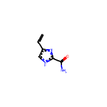 C=Cc1c[nH]c(C(N)=O)n1